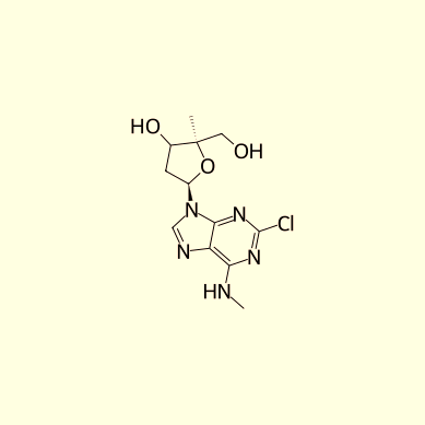 CNc1nc(Cl)nc2c1ncn2[C@H]1CC(O)[C@@](C)(CO)O1